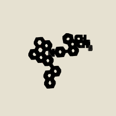 CC1(C)c2ccccc2-c2c(-c3ccc(N(c4cccc(-c5cccc6c5ccc5ccccc56)c4)c4ccccc4-c4cccc5cccc(C6CCCCC6)c45)cc3)cccc21